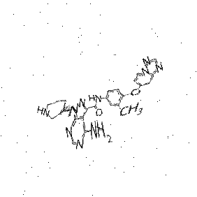 Cc1cc(NC(=O)c2nn([C@@H]3CCCNC3)c3ncnc(N)c23)ccc1Oc1ccn2ncnc2c1